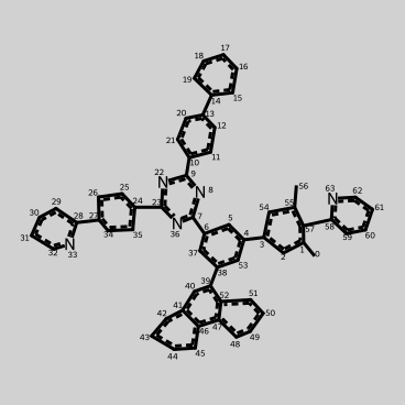 Cc1cc(-c2cc(-c3nc(-c4ccc(-c5ccccc5)cc4)nc(-c4ccc(-c5ccccn5)cc4)n3)cc(-c3cc4ccccc4c4ccccc34)c2)cc(C)c1-c1ccccn1